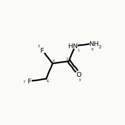 NNC(=O)C(F)CF